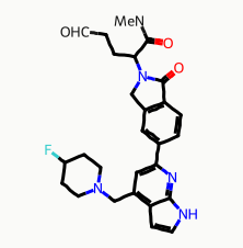 CNC(=O)C(CCC=O)N1Cc2cc(-c3cc(CN4CCC(F)CC4)c4cc[nH]c4n3)ccc2C1=O